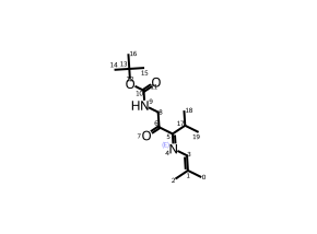 CC(C)=C/N=C(/C(=O)CNC(=O)OC(C)(C)C)C(C)C